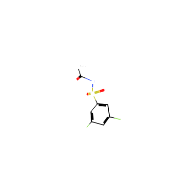 COC(=O)NS(=O)(=O)c1cc(F)cc(F)c1